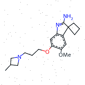 COc1cc2c(cc1OCCCN1CC(C)C1)N=C(N)C21CCC1